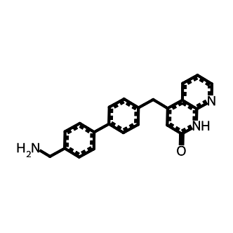 NCc1ccc(-c2ccc(Cc3cc(=O)[nH]c4ncccc34)cc2)cc1